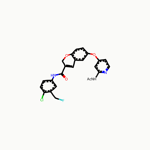 CC(=O)Nc1cc(Oc2ccc3c(c2)C=C(C(=O)Nc2ccc(Cl)c(CF)c2)CO3)ccn1